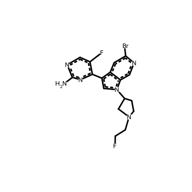 Nc1ncc(F)c(-c2cn(C3CCN(CCF)C3)c3cnc(Br)cc23)n1